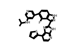 CC(C)Nc1cncc(-c2ccc3[nH]nc(-c4nc5c(-c6cccs6)ccnc5[nH]4)c3c2F)c1